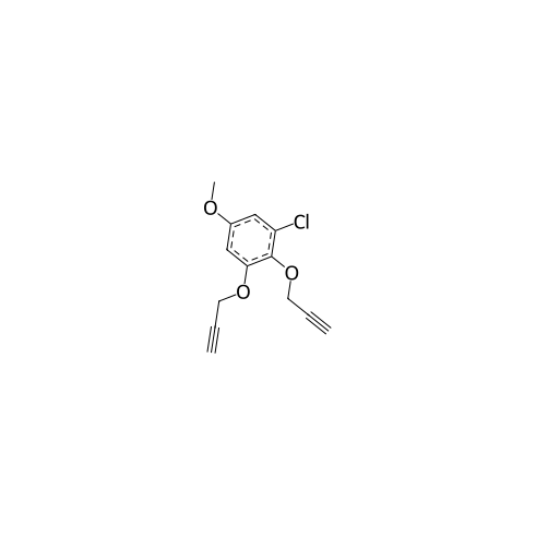 C#CCOc1cc(OC)cc(Cl)c1OCC#C